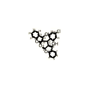 C=C1Oc2ccccc2C(O)=C1C(c1ccc(Cl)cc1)c1c(O)c2ccccc2oc1=O